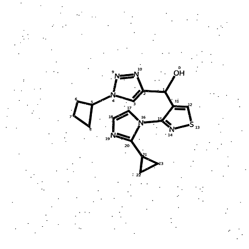 OC(c1cn(C2CCC2)nn1)c1csnc1-n1ccnc1C1CC1